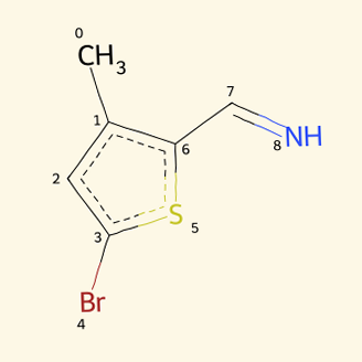 Cc1cc(Br)sc1C=N